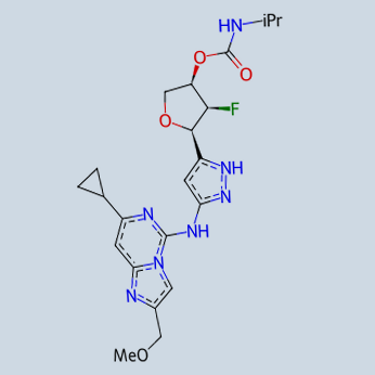 COCc1cn2c(Nc3cc([C@H]4OC[C@@H](OC(=O)NC(C)C)[C@H]4F)[nH]n3)nc(C3CC3)cc2n1